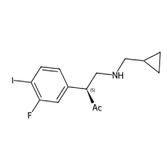 CC(=O)[C@H](CNCC1CC1)c1ccc(I)c(F)c1